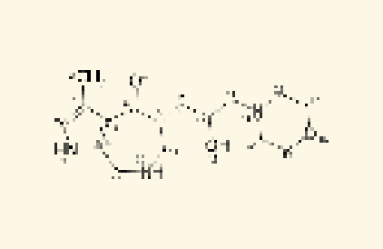 Cc1c[nH]c2c1C(=O)[C@H](CC(O)CN1CCOCC1)CNC2